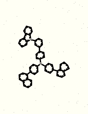 c1cc(-c2ccc(N(c3ccc(-c4cccc5ccccc45)cc3)c3ccc(-c4cccc5ccccc45)cc3)cc2)cc(-n2c3ccccc3c3ccccc32)c1